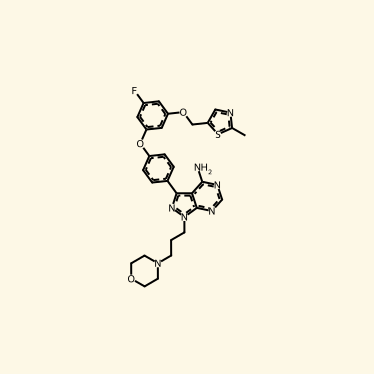 Cc1ncc(COc2cc(F)cc(Oc3ccc(-c4nn(CCCN5CCOCC5)c5ncnc(N)c45)cc3)c2)s1